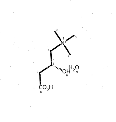 C[N+](C)(C)C[C@H](O)CC(=O)O.O